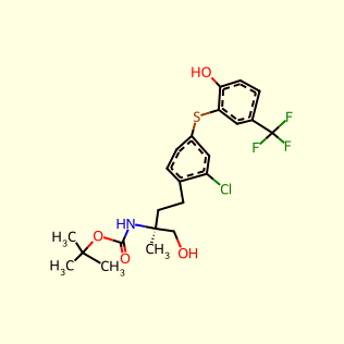 CC(C)(C)OC(=O)N[C@](C)(CO)CCc1ccc(Sc2cc(C(F)(F)F)ccc2O)cc1Cl